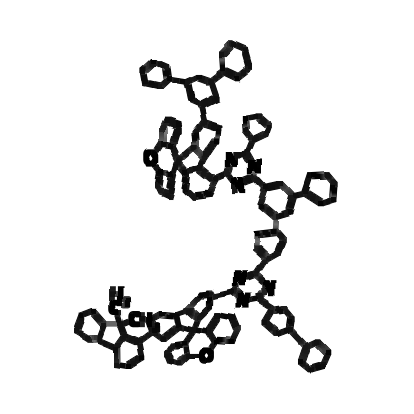 CC1(C)c2ccccc2-c2cccc(-c3ccc4c(c3)C3(c5ccccc5Oc5ccccc53)c3cc(-c5nc(-c6ccc(-c7ccccc7)cc6)nc(-c6ccc(-c7cc(-c8ccccc8)cc(-c8nc(-c9ccccc9)nc(-c9cccc%10c9-c9ccc(-c%11cc(-c%12ccccc%12)cc(-c%12ccccc%12)c%11)cc9C%109c%10ccccc%10Oc%10ccccc%109)n8)c7)cc6)n5)ccc3-4)c21